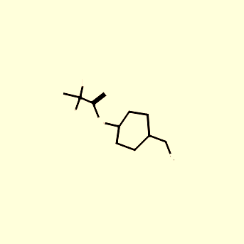 NCC1CCC(OC(=O)C(F)(F)F)CC1